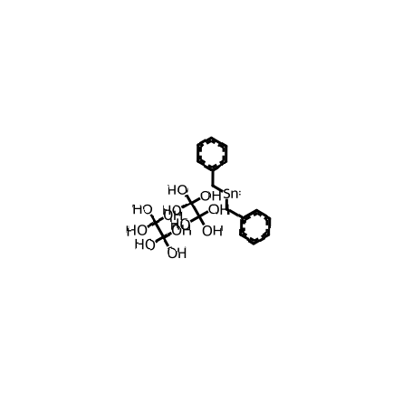 OC(O)(O)C(O)(O)O.OC(O)(O)C(O)(O)O.c1ccc([CH2][Sn][CH2]c2ccccc2)cc1